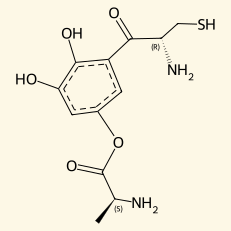 C[C@H](N)C(=O)Oc1cc(O)c(O)c(C(=O)[C@@H](N)CS)c1